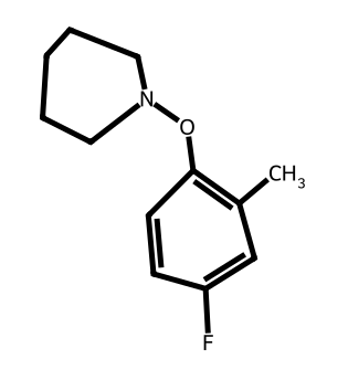 Cc1cc(F)ccc1ON1CCCCC1